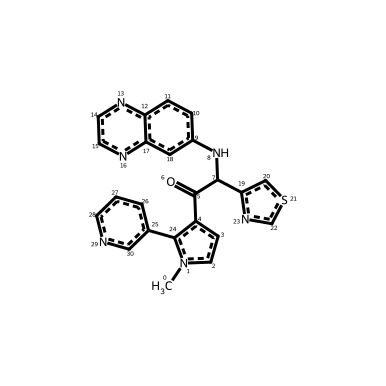 Cn1ccc(C(=O)C(Nc2ccc3nccnc3c2)c2cscn2)c1-c1cccnc1